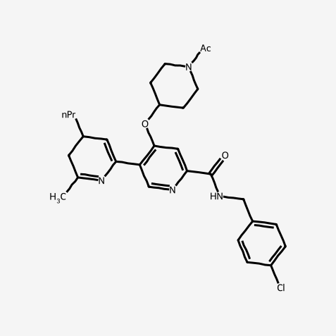 CCCC1C=C(c2cnc(C(=O)NCc3ccc(Cl)cc3)cc2OC2CCN(C(C)=O)CC2)N=C(C)C1